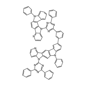 c1ccc(-c2nc(-c3ccccc3)nc(-n3c4cc5c(cc4c4ncccc43)c3cc(-c4cccc(-c6nc(-c7ccccc7)nc(-n7c8cccnc8c8ccc9c(c%10ccccc%10n9-c9ccccc9)c87)n6)c4)ccc3n5-c3ccccc3)n2)cc1